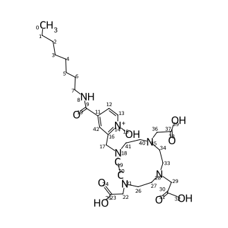 CCCCCCCCNC(=O)c1cc[n+](O)c(CN2CCN(CC(=O)O)CCN(CC(=O)O)CCN(CC(=O)O)CC2)c1